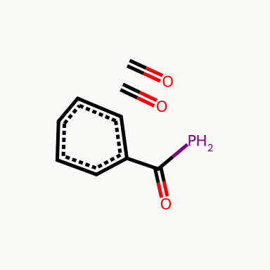 C=O.C=O.O=C(P)c1ccccc1